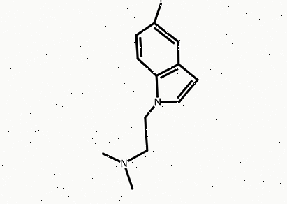 CN(C)CCn1ccc2cc(F)ccc21